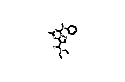 CCN(CC)C(=O)c1cnn2c(N(C)c3ccccc3)nc(C)nc12